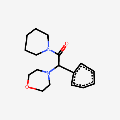 O=C(C(c1ccccc1)N1CCOCC1)N1CCCCC1